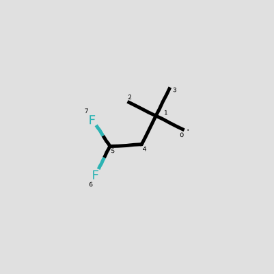 [CH2]C(C)(C)CC(F)F